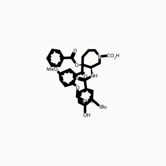 COCOc1ccc(OC)cc1C(=O)[C@@]1(OC(=O)c2ccccc2)CCCN(C(=O)O)C[C@H]1NC(=O)c1ccc(O)c(C(C)(C)C)c1